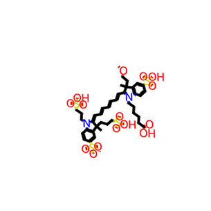 COCCC1(C)C(/C=C/C=C/C=C/C=C2/N(CCCS(=O)(=O)O)c3ccc(S(=O)(=O)[O-])cc3C2(C)CCCS(=O)(=O)O)=[N+](CCCCCC(=O)O)c2ccc(S(=O)(=O)O)cc21